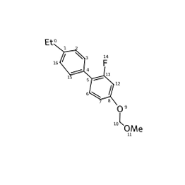 CCc1ccc(-c2ccc(OCOC)cc2F)cc1